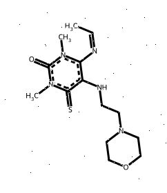 C/C=N\c1c(NCCN2CCOCC2)c(=S)n(C)c(=O)n1C